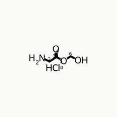 Cl.NCC(=O)OCO